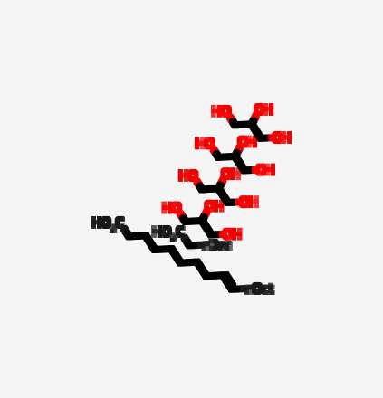 CCCCCCCCC=CCCCCCCCC(=O)O.CCCCCCCCCCCC(=O)O.OCC(O)CO.OCC(O)CO.OCC(O)CO.OCC(O)CO